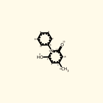 Cc1cc(O)n(-c2ccccc2)c(=O)c1